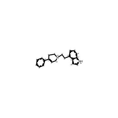 C1=C(c2ccccc2)CCN(CCc2cccc3[nH]ccc23)C1